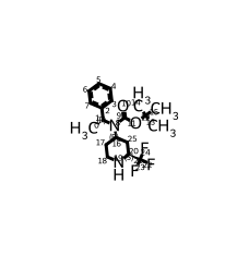 C[C@H](c1ccccc1)N(C(=O)OC(C)(C)C)[C@@H]1CCN[C@H](C(F)(F)F)C1